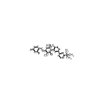 Cc1cnc(-c2ccnc(C(C)(C)C)n2)cc1-n1c(C)cc(OCc2ccc(F)cc2F)c(Cl)c1=O